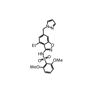 CCc1cc(Cn2cccn2)cc2onc(NS(=O)(=O)c3c(OC)cccc3OC)c12